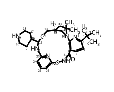 CC(C)(C)c1ccc2c(n1)N1C[C@@H](CCC(C3CCNCC3)Nc3cccc(n3)SNC2=O)CC1(C)C